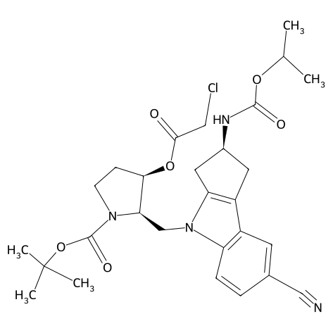 CC(C)OC(=O)N[C@H]1Cc2c(n(C[C@@H]3[C@H](OC(=O)CCl)CCN3C(=O)OC(C)(C)C)c3ccc(C#N)cc23)C1